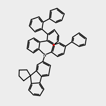 c1ccc(-c2ccc(N(c3ccc4c(c3)C3(CCCC3)c3ccccc3-4)c3ccccc3-c3ccccc3-c3ccccc3-c3ccccc3)cc2)cc1